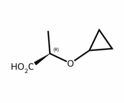 C[C@@H](OC1CC1)C(=O)O